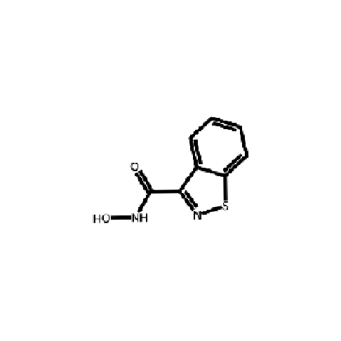 O=C(NO)c1nsc2ccccc12